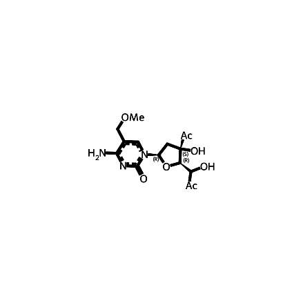 COCc1cn([C@H]2C[C@@](O)(C(C)=O)[C@@H](C(O)C(C)=O)O2)c(=O)nc1N